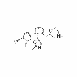 Cc1ncc(-c2c(CC3CNCCO3)cccc2-c2ccc(C#N)c(F)c2)o1